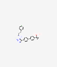 CC(CCc1ccc(Cl)cc1)Nc1c(-c2ccc(-c3ccc(C4(C(=O)O)CC4)cc3)cc2)cnn1C